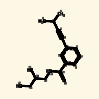 CC(C)C#Cc1ccnc(C(=O)NCC(O)CO)c1